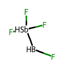 F[BH][SbH]([F])([F])[F]